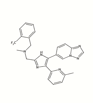 Cc1cccc(-c2nc(CN(C)Cc3ccccc3C(F)(F)F)[nH]c2-c2ccc3ncnn3c2)n1